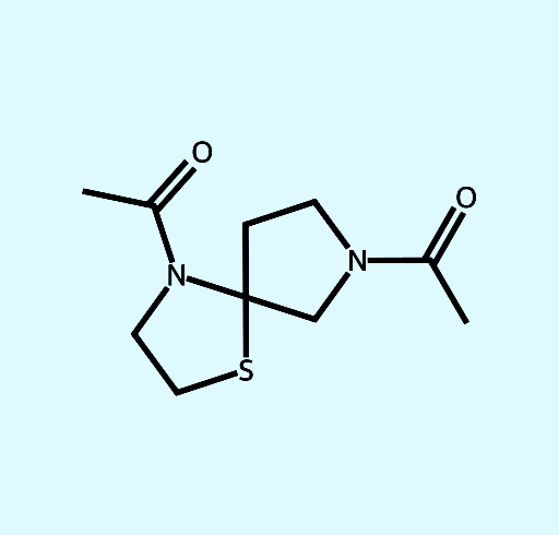 CC(=O)N1CCC2(C1)SCCN2C(C)=O